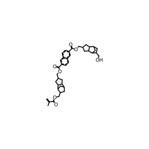 C=C(C)C(=O)OCC1CC2CC1C1CC(COC(=O)c3ccc4cc(C(=O)OCC5CC6C7CC(CO)C(C7)C6C5)ccc4c3)CC21